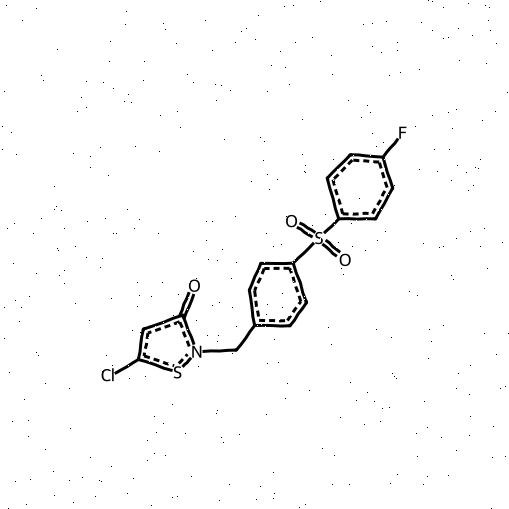 O=c1cc(Cl)sn1Cc1ccc(S(=O)(=O)c2ccc(F)cc2)cc1